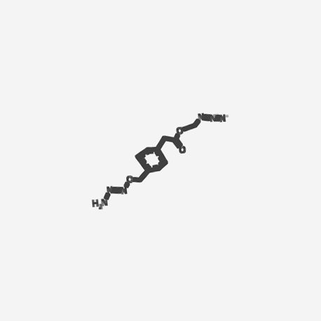 [N-]=[N+]=NCOC(=O)Cc1ccc(CON=NN)cc1